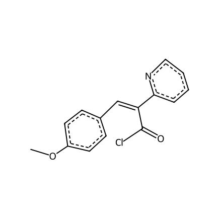 COc1ccc(C=C(C(=O)Cl)c2ccccn2)cc1